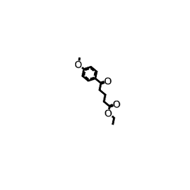 CCOC(=O)CCCC(=O)c1ccc(OC)cc1